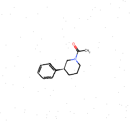 CC(=O)N1CCC[C@@H](c2ccccc2)C1